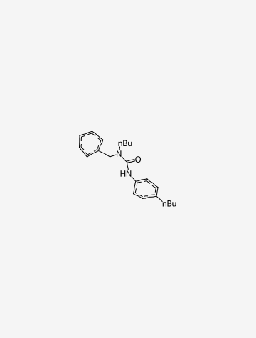 CCCCc1ccc(NC(=O)N(CCCC)Cc2ccccc2)cc1